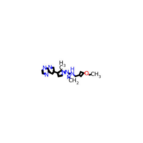 C=N/C(=N\n1ccc(-c2cnc3nccnc3c2)c1C)NCC1CC(OCC)C1